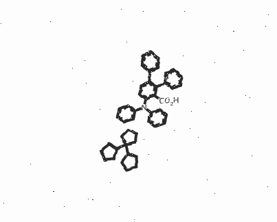 C1CCC(C2(C3CCCC3)CCCC2)C1.O=C(O)c1c(N(c2ccccc2)c2ccccc2)ccc(-c2ccccc2)c1-c1ccccc1